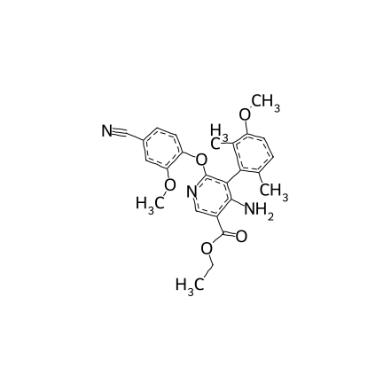 CCOC(=O)c1cnc(Oc2ccc(C#N)cc2OC)c(-c2c(C)ccc(OC)c2C)c1N